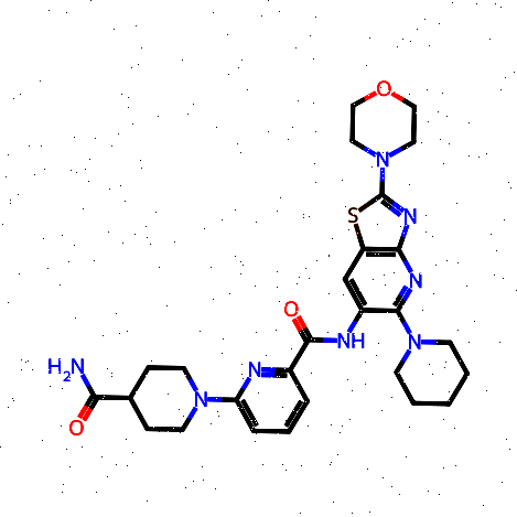 NC(=O)C1CCN(c2cccc(C(=O)Nc3cc4sc(N5CCOCC5)nc4nc3N3CCCCC3)n2)CC1